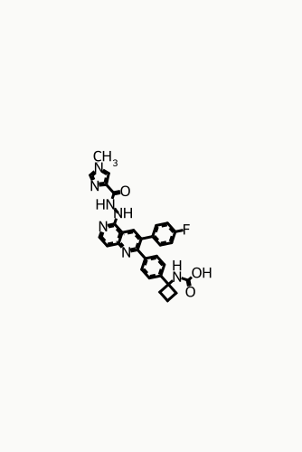 Cn1cnc(C(=O)NNc2nccc3nc(-c4ccc(C5(NC(=O)O)CCC5)cc4)c(-c4ccc(F)cc4)cc23)c1